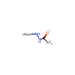 CCCCCNNC(=O)C(F)(F)F